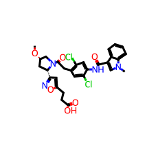 CO[C@H]1C[C@@H](c2cc(CCC(=O)O)on2)N(C(=O)Cc2cc(Cl)c(NC(=O)c3cn(C)c4ccccc34)cc2Cl)C1